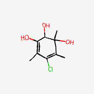 CC1=C(O)C(O)C(C)(O)C(C)=C1Cl